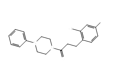 O=C(CCc1ccc(Cl)cc1Cl)N1CCN(c2ccccc2)CC1